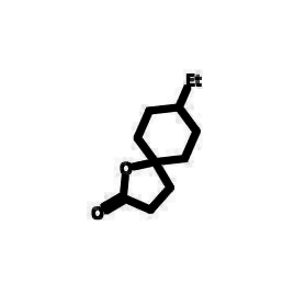 CCC1CCC2(CCC(=O)O2)CC1